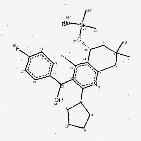 CC1(C)Cc2nc(C3CCCC3)c(C(O)c3ccc(F)cc3)c(I)c2[C@H](O[Si](C)(C)C(C)(C)C)C1